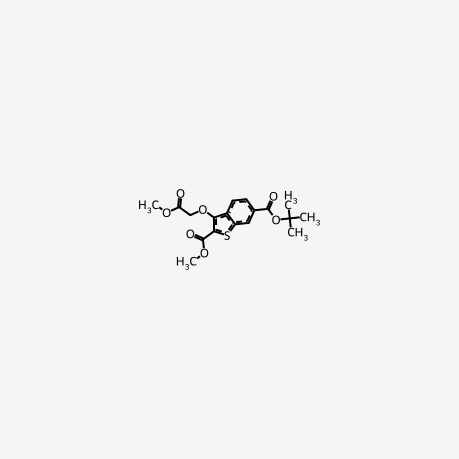 COC(=O)COc1c(C(=O)OC)sc2cc(C(=O)OC(C)(C)C)ccc12